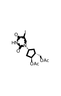 CC(=O)OC[C@H]1C[C@@H](n2cc(I)c(=O)[nH]c2=O)C[C@@H]1OC(C)=O